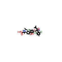 CC(C)n1nc(C(=O)O)cc1[C@H]1CC[C@](O)(c2ccc(OCc3c(-c4c(Cl)cccc4Cl)noc3C3CC3)cc2Cl)CC1